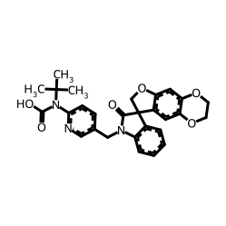 CC(C)(C)N(C(=O)O)c1ccc(CN2C(=O)C3(COc4cc5c(cc43)OCCO5)c3ccccc32)cn1